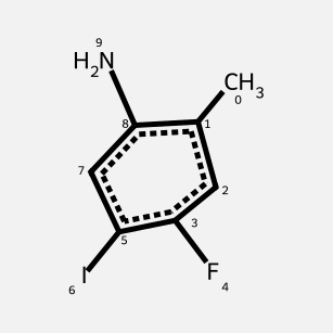 Cc1cc(F)c(I)cc1N